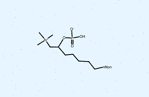 CCCCCCCCCCCCCCC(C[N+](C)(C)C)OP(=O)([O-])O